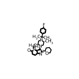 C[C@@H]1CN(c2c3c(ccc(=O)n3C)nn2C2CCCCO2)[C@@H](C)CN1C(C)(C)c1ccc(F)cc1